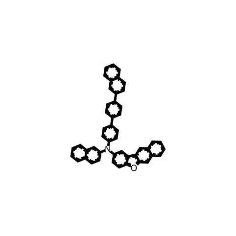 c1ccc2cc(-c3ccc(-c4ccc(N(c5ccc6ccccc6c5)c5ccc6oc7cc8ccccc8cc7c6c5)cc4)cc3)ccc2c1